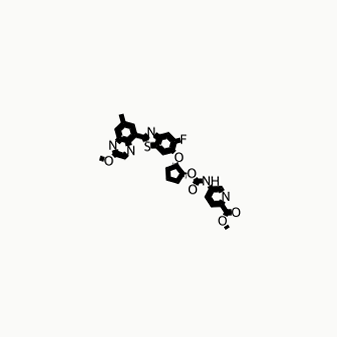 COC(=O)c1ccc(NC(=O)O[C@@H]2CCC[C@@H]2Oc2cc3sc(-c4cc(C)cc5nc(OC)cnc45)nc3cc2F)cn1